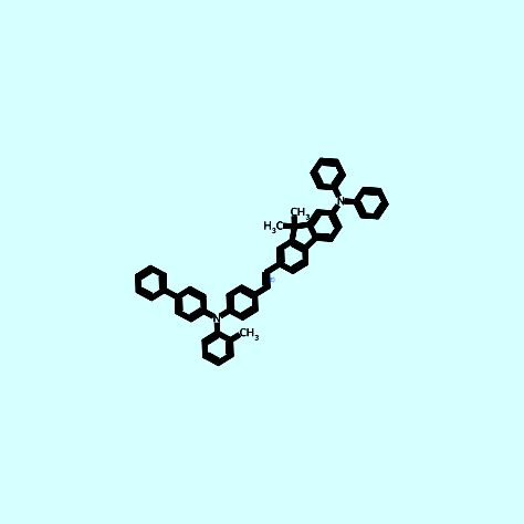 Cc1ccccc1N(c1ccc(/C=C/c2ccc3c(c2)C(C)(C)c2cc(N(c4ccccc4)c4ccccc4)ccc2-3)cc1)c1ccc(-c2ccccc2)cc1